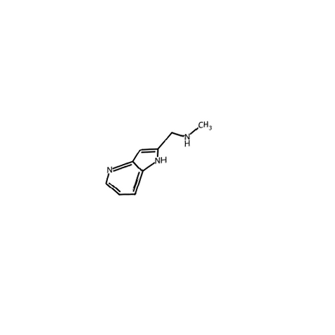 CNCc1cc2ncccc2[nH]1